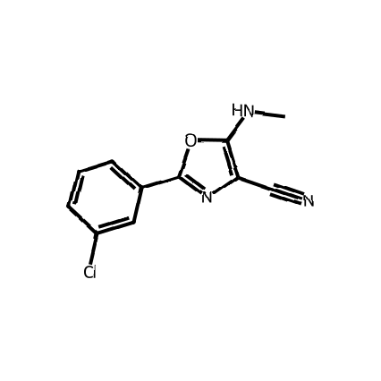 CNc1oc(-c2cccc(Cl)c2)nc1C#N